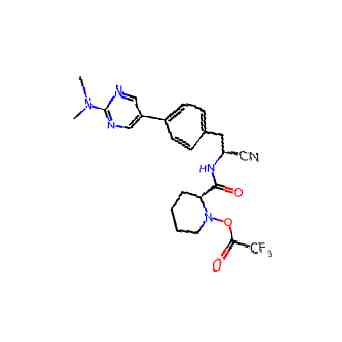 CN(C)c1ncc(-c2ccc(C[C@@H](C#N)NC(=O)[C@@H]3CCCCN3OC(=O)C(F)(F)F)cc2)cn1